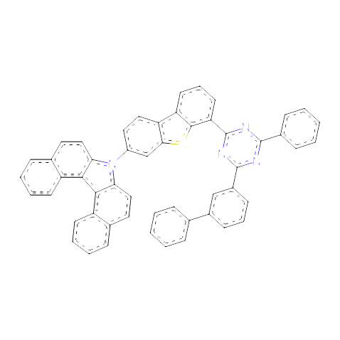 c1ccc(-c2cccc(-c3nc(-c4ccccc4)nc(-c4cccc5c4sc4cc(-n6c7ccc8ccccc8c7c7c8ccccc8ccc76)ccc45)n3)c2)cc1